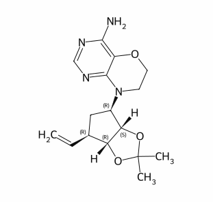 C=C[C@H]1C[C@@H](N2CCOc3c(N)ncnc32)[C@@H]2OC(C)(C)O[C@@H]21